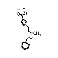 COC(=O)c1ccn(CCC(C)OCc2ccccc2)c1